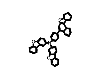 C1=CC2C(c3ccc(N(c4ccc5c(c4)oc4ccccc45)c4ccc5oc6ccccc6c5c4)cc3)=Cc3sc4ccccc4c3C2C=C1